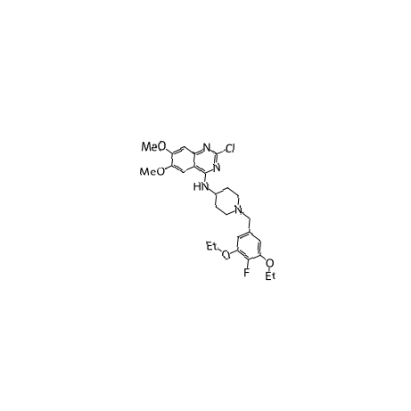 CCOc1cc(CN2CCC(Nc3nc(Cl)nc4cc(OC)c(OC)cc34)CC2)cc(OCC)c1F